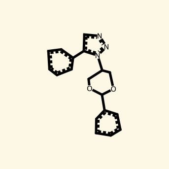 c1ccc(-c2cnnn2C2COC(c3ccccc3)OC2)cc1